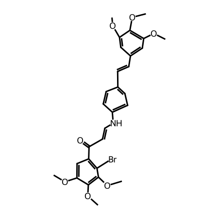 COc1cc(C=Cc2ccc(NC=CC(=O)c3cc(OC)c(OC)c(OC)c3Br)cc2)cc(OC)c1OC